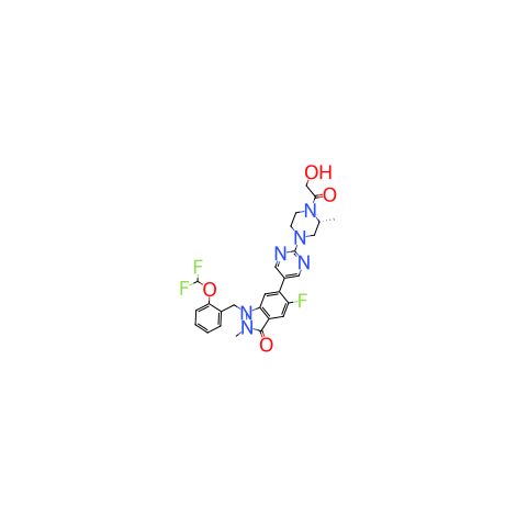 C[C@@H]1CN(c2ncc(-c3cc4c(cc3F)c(=O)n(C)n4Cc3ccccc3OC(F)F)cn2)CCN1C(=O)CO